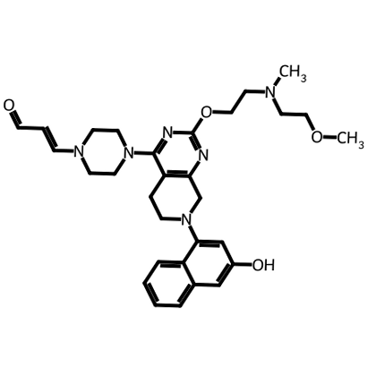 COCCN(C)CCOc1nc2c(c(N3CCN(C=CC=O)CC3)n1)CCN(c1cc(O)cc3ccccc13)C2